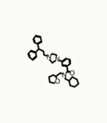 O=C(c1cccc(N2CCN(CCC(c3ccccc3)c3ccccc3)CC2)c1)N(CC1CCCCC1)CC1CCCCO1